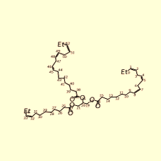 CC/C=C\C/C=C\C/C=C\CCCCCCCC(=O)OCC(COC(=O)CCCCCCC/C=C\CC)OC(=O)CCCCCCC/C=C\C/C=C\C/C=C\CC